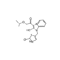 CC(C)OCC(=O)c1c(O)n(CC2=CNC(Cl)S2)c2cccc[n+]12